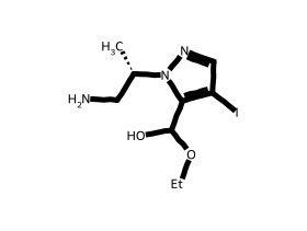 CCOC(O)c1c(I)cnn1[C@@H](C)CN